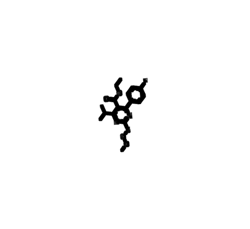 CCOC(=O)c1c(-c2ccc(F)cc2)nc(SOOC)nc1C(C)C